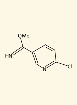 COC(=N)c1ccc(Cl)nc1